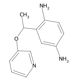 CC(Oc1cccnc1)c1cc(N)ccc1N